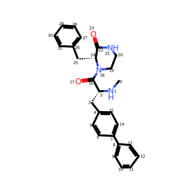 CN[C@H](Cc1ccc(-c2ccccc2)cc1)C(=O)N1CCNC(=O)[C@H]1Cc1ccccc1